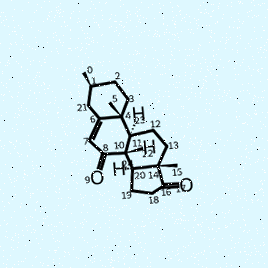 C[C@H]1CC[C@@]2(C)C(=CC(=O)[C@@H]3[C@@H]2CC[C@]2(C)C(=O)CC[C@@H]32)C1